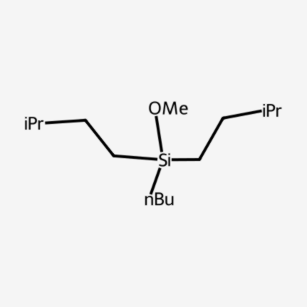 CCCC[Si](CCC(C)C)(CCC(C)C)OC